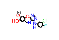 CCOc1cc2c(cc1O)C=Nc1c(Nc3ccc(F)c(Cl)c3)ncnc1O2